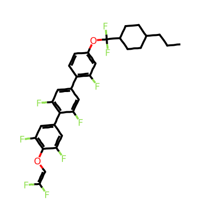 CCCC1CCC(C(F)(F)Oc2ccc(-c3cc(F)c(-c4cc(F)c(OC=C(F)F)c(F)c4)c(F)c3)c(F)c2)CC1